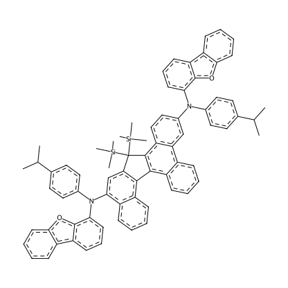 CC(C)c1ccc(N(c2ccc3c4c(c5ccccc5c3c2)-c2c(cc(N(c3ccc(C(C)C)cc3)c3cccc5c3oc3ccccc35)c3ccccc23)C4([Si](C)(C)C)[Si](C)(C)C)c2cccc3c2oc2ccccc23)cc1